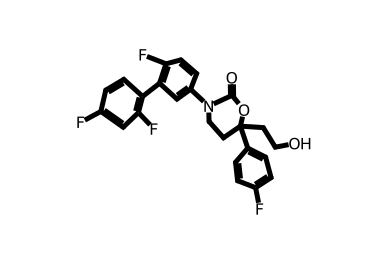 O=C1OC(CCO)(c2ccc(F)cc2)CCN1c1ccc(F)c(-c2ccc(F)cc2F)c1